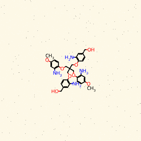 COc1ccc(OCC(COc2ccc(CO)cc2N)(COc2ccc(CO)cc2N)COc2ccc(OC)cc2N)c(N)c1